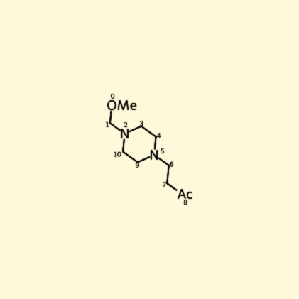 COCN1CCN(CCC(C)=O)CC1